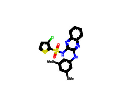 COc1cc(Nc2nc3ccccc3nc2NS(=O)(=O)c2sccc2Cl)cc(OC)c1